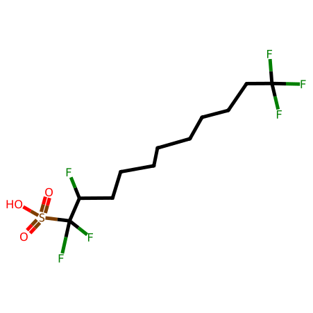 O=S(=O)(O)C(F)(F)C(F)CCCCCCCCC(F)(F)F